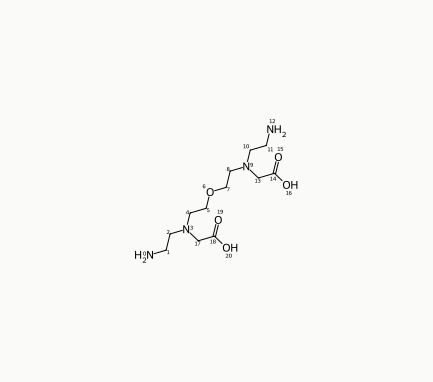 NCCN(CCOCCN(CCN)CC(=O)O)CC(=O)O